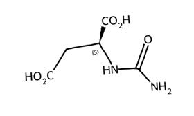 NC(=O)N[C@@H](CC(=O)O)C(=O)O